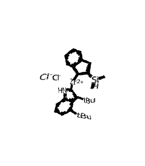 C[SiH](C)C1=Cc2ccccc2[CH]1[Zr+2][c]1[nH]c2cccc(C(C)(C)C)c2c1C(C)(C)C.[Cl-].[Cl-]